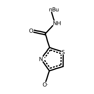 CCCCNC(=O)c1nc([O])cs1